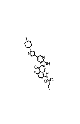 CCCS(=O)(=O)Nc1ccc(F)c(C(=O)c2c[nH]c3ncc(-c4cnn(C5CCN(C)CC5)c4)cc23)c1F